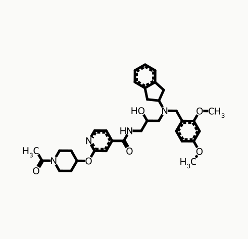 COc1ccc(CN(CC(O)CNC(=O)c2ccnc(OC3CCN(C(C)=O)CC3)c2)C2Cc3ccccc3C2)c(OC)c1